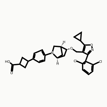 O=C(O)C1CC(c2ccc(N3C[C@@H]4C[C@H]3C[C@H]4OCc3c(-c4c(Cl)cccc4Cl)noc3C3CC3)cc2)C1